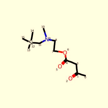 CC(=O)CC(=O)OCCN(C)C[Si](C)(C)C